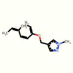 C\C=C(C)/C=C\C(=C/C)OCc1cnn(C)c1